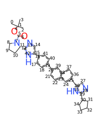 CC(C)(C)OC(=O)N1CCC[C@H]1c1ncc(-c2ccc(-c3ccc4cc(-c5cnc(C6CCCC6)[nH]5)ccc4c3)cc2)[nH]1